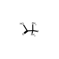 O=C(O)C(F)(P)P